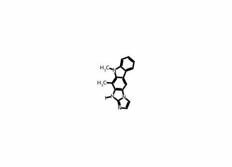 Cc1c2c(cc3c1n(I)c1nccn31)c1ccccc1n2C